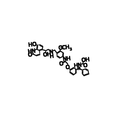 COc1cc(NC(=O)COc2cccc([C@@H](NC(=O)O)c3ccccc3)c2)ccc1CNCC(O)c1ccc(O)c2[nH]c(=O)ccc12